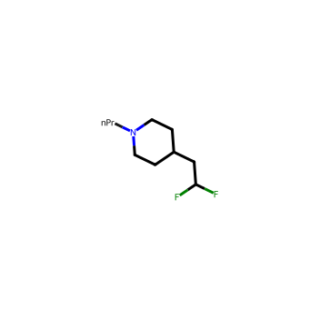 CCCN1CCC(CC(F)F)CC1